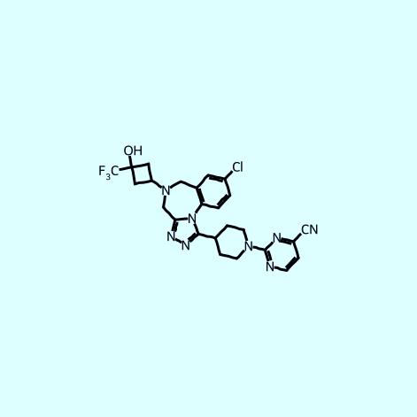 N#Cc1ccnc(N2CCC(c3nnc4n3-c3ccc(Cl)cc3CN(C3CC(O)(C(F)(F)F)C3)C4)CC2)n1